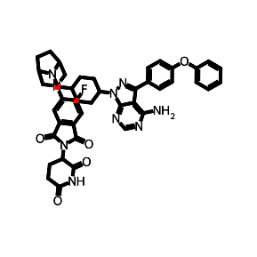 Nc1ncnc2c1c(-c1ccc(Oc3ccccc3)cc1)nn2C1CCC(CN2C3CCC2CN(c2cc4c(cc2F)C(=O)N(C2CCC(=O)NC2=O)C4=O)C3)CC1